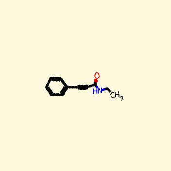 CCNC(=O)C#Cc1ccccc1